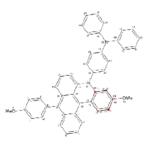 COc1ccc(-c2c3ccccc3c(-c3ccc(OC)cc3)c3c(N(c4ccccc4)c4ccc(N(c5ccccc5)c5ccccc5)cc4)cccc23)cc1